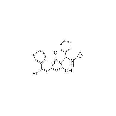 CCC(=Cc1cc(O)c(C(NC2CC2)c2ccccc2)c(=O)o1)c1ccccc1